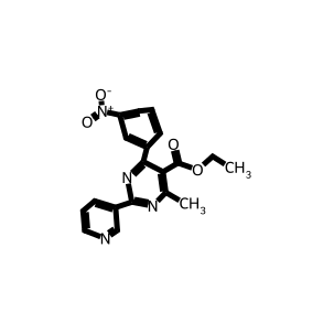 CCOC(=O)c1c(C)nc(-c2cccnc2)nc1-c1cccc([N+](=O)[O-])c1